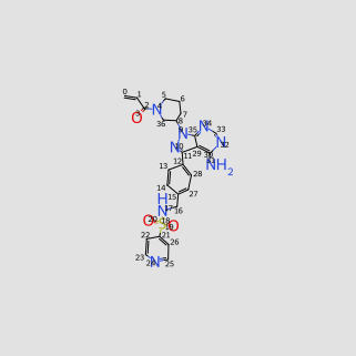 C=CC(=O)N1CCCC(n2nc(-c3ccc(CNS(=O)(=O)c4ccncc4)cc3)c3c(N)ncnc32)C1